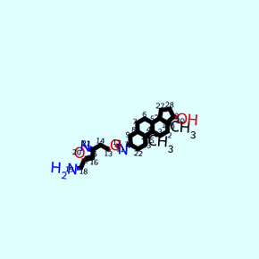 CC12CCC3C(CCC4CC(=NOCCc5cc(CN)on5)CCC43C)C1CCC2O